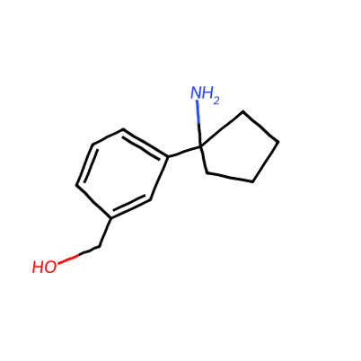 NC1(c2cccc(CO)c2)CCCC1